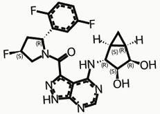 O=C(c1n[nH]c2ncnc(N[C@H]3[C@H](O)[C@H](O)[C@@H]4C[C@@H]43)c12)N1C[C@@H](F)C[C@@H]1c1cc(F)ccc1F